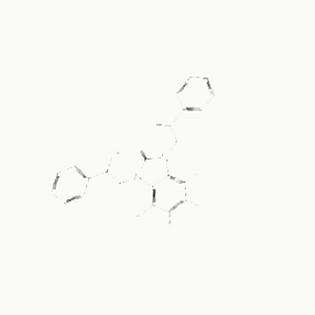 O=c1n(CC(O)c2ccccc2)c2c(Cl)c(Cl)c(Cl)c(Cl)c2n1CC(O)c1ccccc1